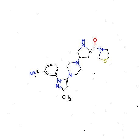 Cc1cc(N2CCN(C3CN[C@H](C(=O)N4CCSC4)C3)CC2)n(-c2cccc(C#N)c2)n1